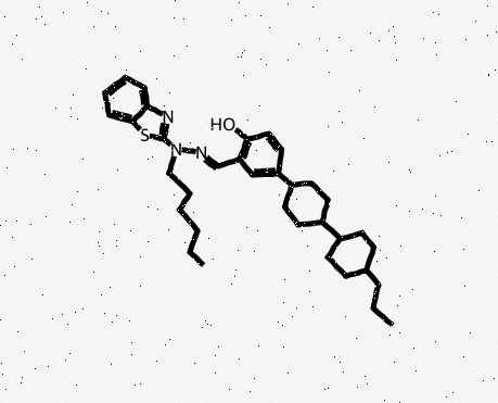 CCCCCCN(/N=C/c1cc(C2CCC(C3CCC(CCC)CC3)CC2)ccc1O)c1nc2ccccc2s1